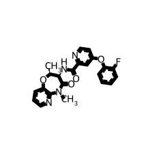 C[C@H]1Oc2cccnc2N(C)C(=O)[C@H]1NC(=O)c1cc(Oc2ccccc2F)ccn1